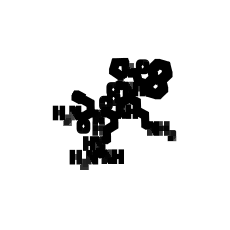 C#CCC(NC(=O)C(CCCNC(=N)N)NC(=O)C(CCCCN)NC(=O)[C@@H]1CCCN1C(=O)Cc1cccc2ccccc12)C(N)=O